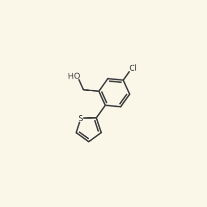 OCc1cc(Cl)ccc1-c1cccs1